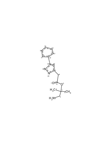 CC(C)(CN)OC(=O)Cc1cn(-c2ccccc2)nn1